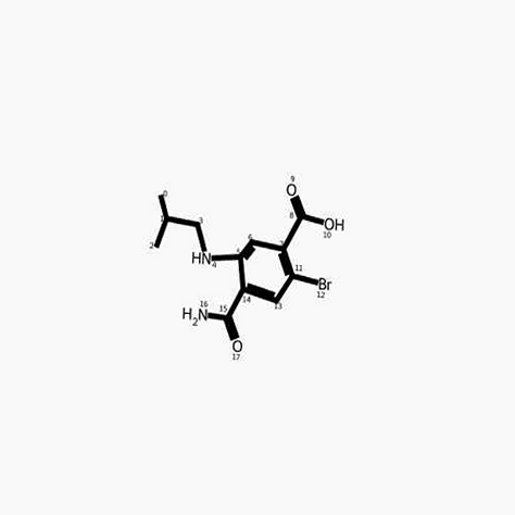 CC(C)CNc1cc(C(=O)O)c(Br)cc1C(N)=O